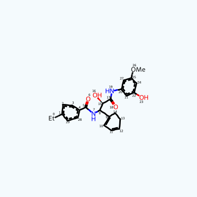 CCc1ccc(C(=O)NC(C2=CC=CCC2)[C@@H](O)C(=O)Nc2cc(O)cc(OC)c2)cc1